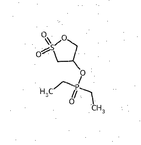 CCP(=O)(CC)OC1COS(=O)(=O)C1